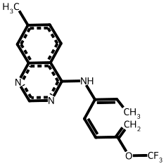 C=C(/C=C\C(=C/C)Nc1ncnc2cc(C)ccc12)OC(F)(F)F